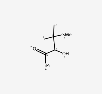 CSC(C)(C)C(O)C(=O)C(C)C